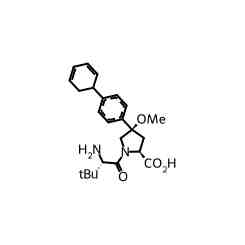 CO[C@@]1(c2ccc(C3C=CC=CC3)cc2)C[C@@H](C(=O)O)N(C(=O)[C@@H](N)C(C)(C)C)C1